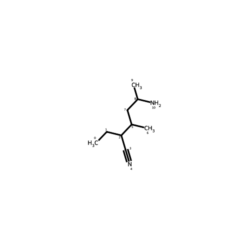 CCC(C#N)C(C)CC(C)N